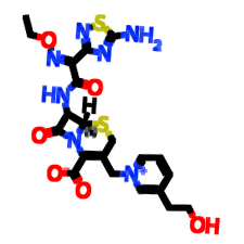 CCON=C(C(=O)NC1C(=O)N2C(C(=O)[O-])=C(C[n+]3cccc(CCO)c3)CS[C@@H]12)c1nsc(N)n1